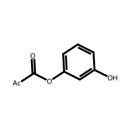 CC(=O)C(=O)Oc1cccc(O)c1